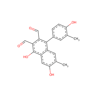 Cc1cc(-c2c(C=O)c(C=O)c(O)c3cc(O)c(C)cc23)ccc1O